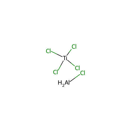 [AlH2][Cl].[Cl][Ti]([Cl])([Cl])[Cl]